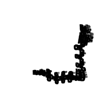 O=[Si]([O-])[O-].O=[Si]([O-])[O-].O=[Si]([O-])[O-].O=[Si]([O-])[O-].O=[Si]([O-])[O-].O=[Si]([O-])[O-].O=[Si]([O-])[O-].[Al+3].[Al+3].[Al+3].[Ba+2].[Ba+2].[Ba+2].[Mg+2].[Mg+2].[Mg+2].[OH-].[OH-].[OH-].[OH-].[OH-].[OH-].[OH-]